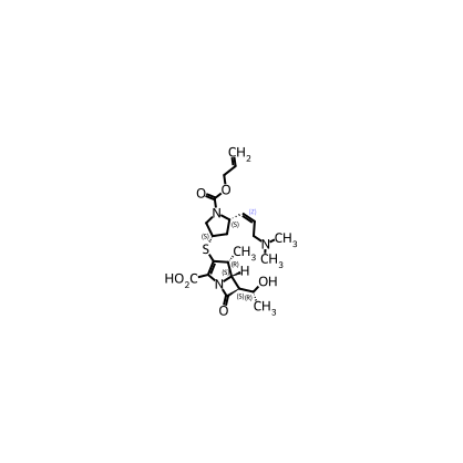 C=CCOC(=O)N1C[C@@H](SC2=C(C(=O)O)N3C(=O)[C@H]([C@@H](C)O)[C@H]3[C@H]2C)C[C@H]1/C=C\CN(C)C